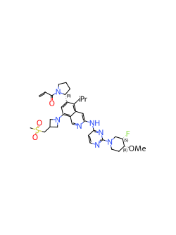 C=CC(=O)N1CCC[C@@H]1c1cc(N2CC(CS(C)(=O)=O)C2)c2cnc(Nc3ccnc(N4CC[C@@H](OC)[C@@H](F)C4)n3)cc2c1C(C)C